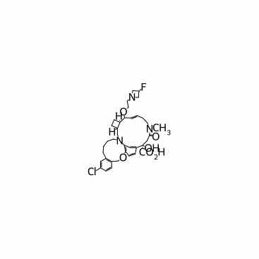 CN1CC/C=C/[C@H](OCCN2CC(F)C2)[C@@H]2CC[C@H]2CN2CCCCc3cc(Cl)ccc3COc3ccc(cc32)[C@@](O)(C(=O)O)CC1=O